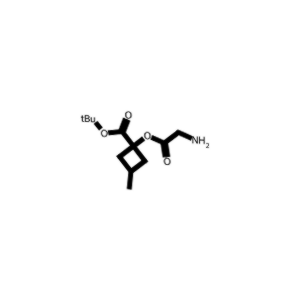 CC1CC(OC(=O)CN)(C(=O)OC(C)(C)C)C1